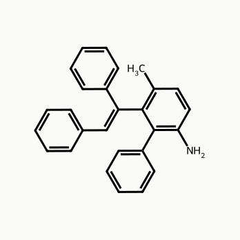 Cc1ccc(N)c(-c2ccccc2)c1C(=Cc1ccccc1)c1ccccc1